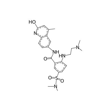 Cc1cc(O)nc2ccc(NC(=O)c3cc(S(=O)(=O)N(C)C)ccc3NCCN(C)C)cc12